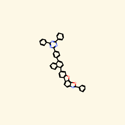 c1ccc(-c2nc(-c3ccccc3)nc(-c3ccc(-c4ccc(-c5ccc6c(c5)oc5c6ccc6nc(-c7ccccc7)oc65)c5ccccc45)cc3)n2)cc1